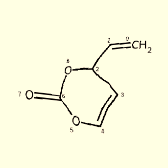 C=CC1C=COC(=O)O1